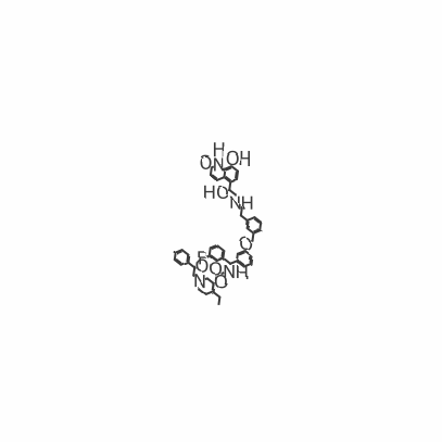 CCC1CCN(CC(=O)c2ccccc2)C[C@@H]1OC(=O)NC(c1cccc(F)c1)c1cccc(OCc2cccc(CCNC[C@H](O)c3ccc(O)c4[nH]c(=O)ccc34)c2)c1